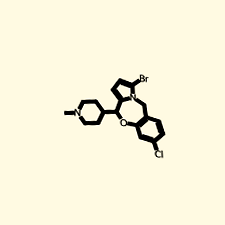 CN1CCC(C2Oc3cc(Cl)ccc3Cn3c(Br)ccc32)CC1